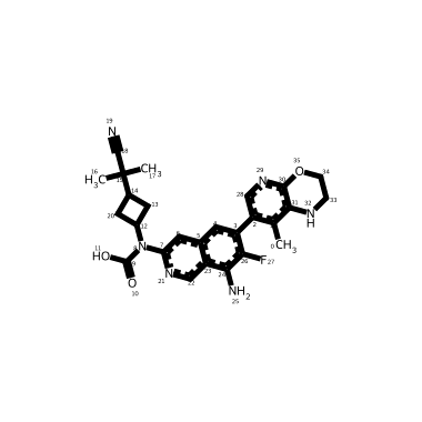 Cc1c(-c2cc3cc(N(C(=O)O)C4CC(C(C)(C)C#N)C4)ncc3c(N)c2F)cnc2c1NCCO2